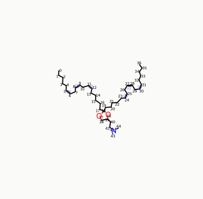 CCCCC/C=C\C/C=C\C/C=C\CCCCCC1(CCCCC/C=C\C/C=C\C/C=C\CCCCC)OCC(CCN(C)C)O1